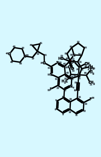 CC1Oc2nc(-c3cccc4ccc(F)c(C#C[Si](C(C)C)(C(C)C)C(C)C)c34)c(F)c3nc(OCC4(CN5CCOCC5)CC4)nc(c23)N2CC3CCC(C12)N3C(=O)O